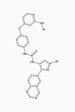 CC(C)Nc1cc(Oc2ccc(NC(=O)Nc3cn(C(C)C)nc3-c3ccc4ncncc4c3)cc2)ccn1